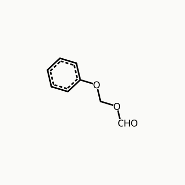 O=COCOc1ccccc1